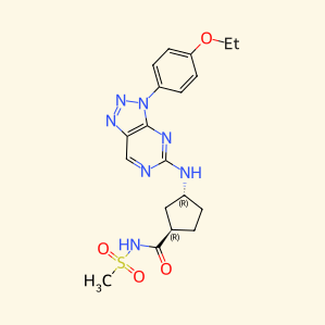 CCOc1ccc(-n2nnc3cnc(N[C@@H]4CC[C@@H](C(=O)NS(C)(=O)=O)C4)nc32)cc1